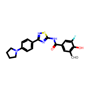 O=Cc1cc(C(=O)Nc2nc(-c3ccc(N4CCCC4)cc3)ns2)cc(F)c1O